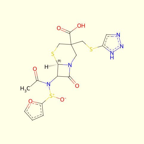 CC(=O)N(C1C(=O)N2CC(CSc3cnn[nH]3)(C(=O)O)CS[C@H]12)[S+]([O-])c1ccco1